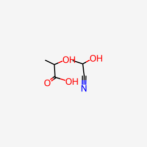 CC(O)C#N.CC(O)C(=O)O